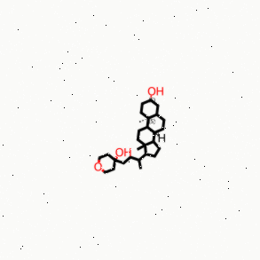 CC(CCC1(O)CCOCC1)C1CCC2[C@@H]3CCC4C[C@@H](O)CC[C@]4(C)C3CCC12C